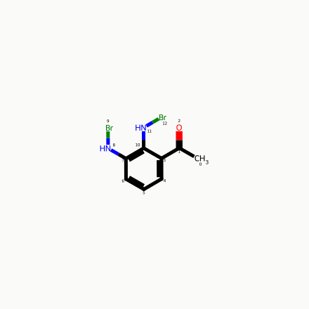 CC(=O)c1cccc(NBr)c1NBr